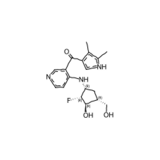 Cc1[nH]cc(C(=O)c2cnccc2N[C@@H]2C[C@H](CO)[C@@H](O)[C@@H]2F)c1C